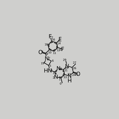 Cc1nc(NC2CN(C(=O)c3cc(F)c(F)c(F)c3)C2)nc2c1NC(=O)C(C)N2C